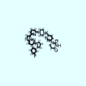 O=C1CCN(c2ccc(CN3CCN(c4cccc(-c5cnc6ccc(N7CCC[C@@H]7c7cccc(F)c7)nn56)n4)CC3)nn2)C(=O)N1